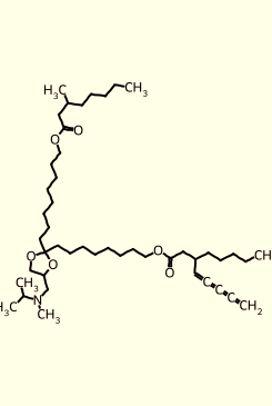 C=C=C=C=CC(CCCCC)CC(=O)OCCCCCCCCC1(CCCCCCCCOC(=O)CC(C)CCCCC)OCC(CN(C)C(C)C)O1